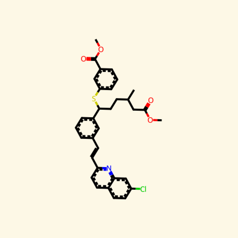 COC(=O)CC(C)CCC(Sc1cccc(C(=O)OC)c1)c1cccc(C=Cc2ccc3ccc(Cl)cc3n2)c1